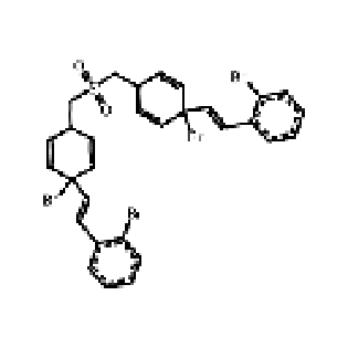 O=S(=O)(CC1C=CC(Br)(/C=C/c2ccccc2Br)C=C1)CC1C=CC(Br)(/C=C/c2ccccc2Br)C=C1